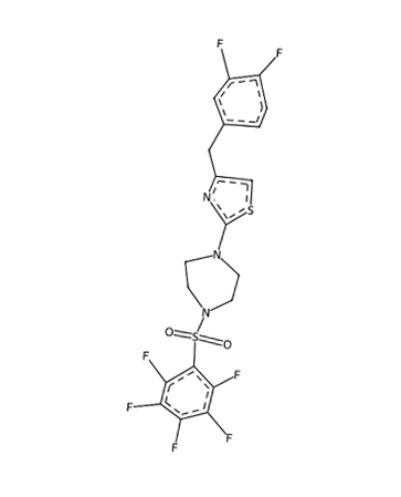 O=S(=O)(c1c(F)c(F)c(F)c(F)c1F)N1CCN(c2nc(Cc3ccc(F)c(F)c3)cs2)CC1